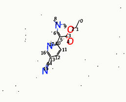 CCOC(=O)/C(=C\N(C)C)c1ccc(C#N)cn1